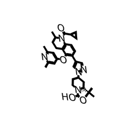 Cc1cc(Oc2c(-c3cnn(C4CCN(C(=O)O)[C@H](C(C)(C)C)C4)c3)ccc3c2CCC(C)N3C(=O)C2CC2)cc(C)n1